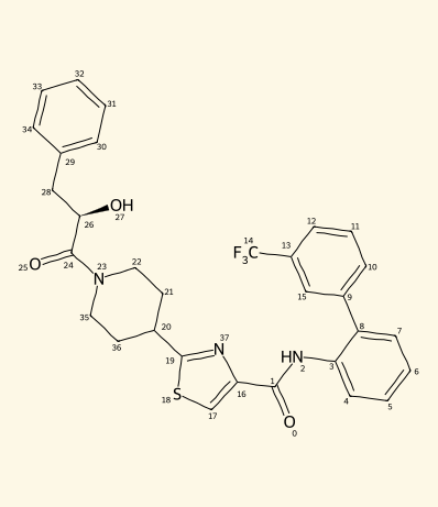 O=C(Nc1ccccc1-c1cccc(C(F)(F)F)c1)c1csc(C2CCN(C(=O)[C@H](O)Cc3ccccc3)CC2)n1